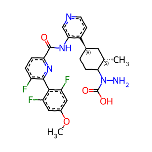 COc1cc(F)c(-c2nc(C(=O)Nc3cnccc3[C@@H]3CCC(N(N)C(=O)O)[C@@H](C)C3)ccc2F)c(F)c1